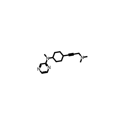 CN(C)CC#CC1CCC(N(C)c2cnccn2)CC1